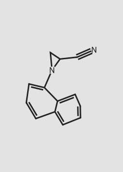 N#CC1CN1c1cccc2ccccc12